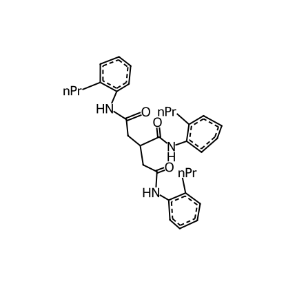 CCCc1ccccc1NC(=O)CC(CC(=O)Nc1ccccc1CCC)C(=O)Nc1ccccc1CCC